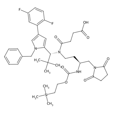 CC(C)(C)[C@H](c1cc(-c2cc(F)ccc2F)cn1Cc1ccccc1)N(CC[C@@H](CN1C(=O)CCC1=O)NC(=O)OCC[Si](C)(C)C)C(=O)CCC(=O)O